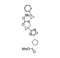 COC(=O)[C@H]1CC[C@@H](c2nc(C3(CN(C(=O)OC(C)(C)C)[C@H]4CC4c4ccccc4)CC3)no2)C1